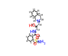 NS(=O)(=O)c1ccccc1C(=O)NC[C@H](O)CN1CCc2ccccc2C1